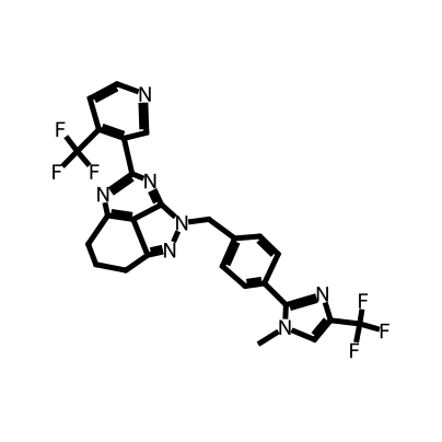 Cn1cc(C(F)(F)F)nc1-c1ccc(Cn2nc3c4c(nc(-c5cnccc5C(F)(F)F)nc42)CCC3)cc1